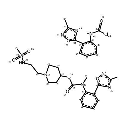 Cc1noc(-c2ccccc2N(C)C(=O)OC2CCN(CCNS(C)(=O)=O)CC2)n1.Cc1noc(-c2ccccc2NC(=O)Cl)n1